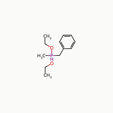 CCO[PH](C)(Cc1ccccc1)OCC